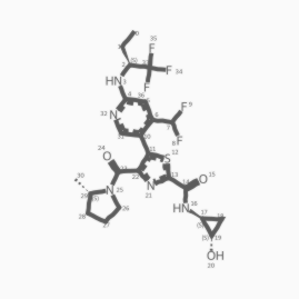 CC[C@H](Nc1cc(C(F)F)c(-c2sc(C(=O)N[C@H]3C[C@@H]3O)nc2C(=O)N2CCC[C@@H]2C)cn1)C(F)(F)F